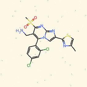 Cc1csc(-c2cn3c(-c4ccc(Cl)cc4Cl)c(CN)c(S(C)(=O)=O)nc3n2)n1